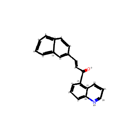 O=C(C=Cc1ccc2ccccc2c1)c1cccc2ncccc12